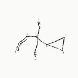 O=CC(F)(F)C1CC1